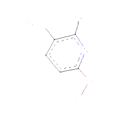 CCCc1nc(OCC)ccc1C(=O)OCC